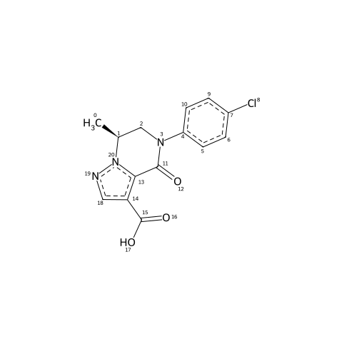 C[C@H]1CN(c2ccc(Cl)cc2)C(=O)c2c(C(=O)O)cnn21